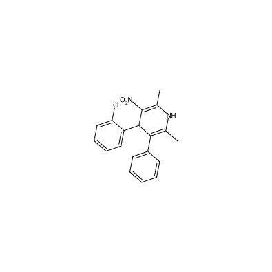 CC1=C(c2ccccc2)C(c2ccccc2Cl)C([N+](=O)[O-])=C(C)N1